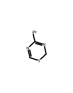 CC(C)C1=NCSC=N1